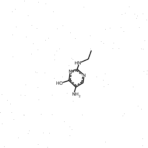 CCNc1ncc(N)c(O)n1